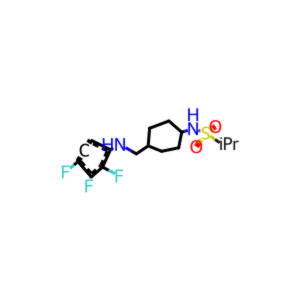 CC(C)S(=O)(=O)NC1CCC(CNc2ccc(F)c(F)c2F)CC1